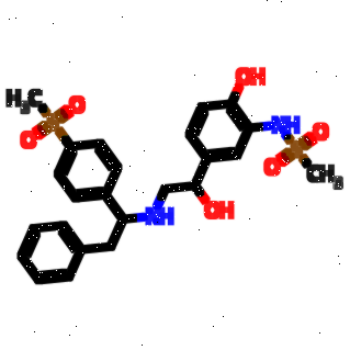 CS(=O)(=O)Nc1cc(C(O)CNC(Cc2ccccc2)c2ccc(S(C)(=O)=O)cc2)ccc1O